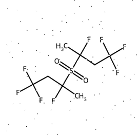 CC(F)(CC(F)(F)F)S(=O)(=O)C(C)(F)CC(F)(F)F